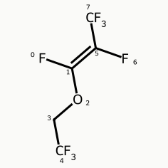 FC(OCC(F)(F)F)=C(F)C(F)(F)F